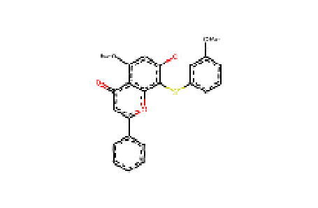 COc1cccc(Sc2c(O)cc(OC)c3c(=O)cc(-c4ccccc4)oc23)c1